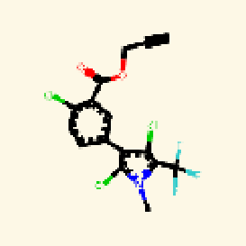 C#CCOC(=O)c1cc(-c2c(Cl)c(C(F)(F)F)n(C)c2Cl)ccc1Cl